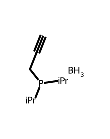 B.C#CCP(C(C)C)C(C)C